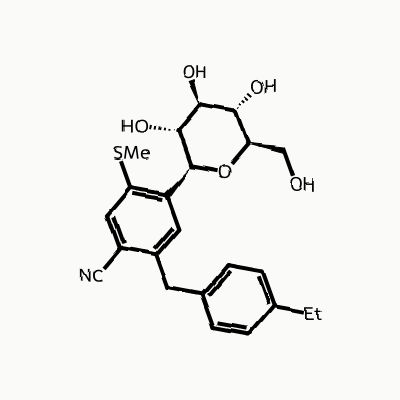 CCc1ccc(Cc2cc([C@@H]3O[C@H](CO)[C@@H](O)[C@H](O)[C@H]3O)c(SC)cc2C#N)cc1